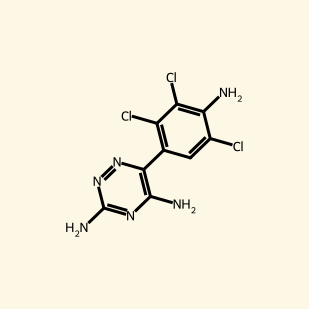 Nc1nnc(-c2cc(Cl)c(N)c(Cl)c2Cl)c(N)n1